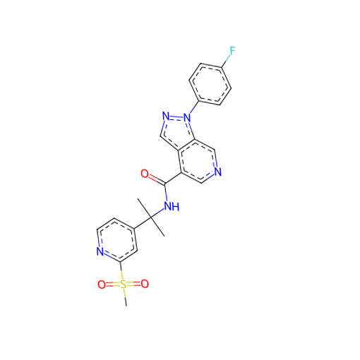 CC(C)(NC(=O)c1cncc2c1cnn2-c1ccc(F)cc1)c1ccnc(S(C)(=O)=O)c1